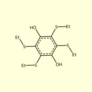 CCSc1c(O)c(SCC)c(SCC)c(O)c1SCC